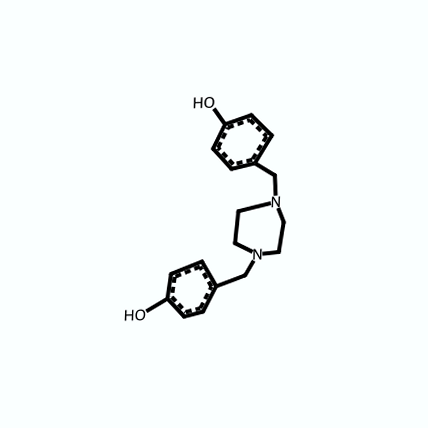 Oc1ccc(CN2CCN(Cc3ccc(O)cc3)CC2)cc1